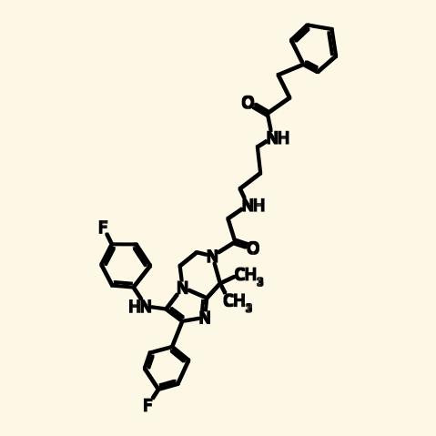 CC1(C)c2nc(-c3ccc(F)cc3)c(Nc3ccc(F)cc3)n2CCN1C(=O)CNCCCNC(=O)CCc1ccccc1